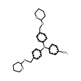 Cc1ccc(N(c2ccc(COC3CCCCO3)cc2)c2ccc(COC3CCCCO3)cc2)cc1